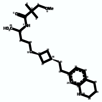 COCC(C)(C)C(=O)NC(CCO[C@H]1C[C@H](CCc2ccc3c(n2)NCCC3)C1)C(=O)O